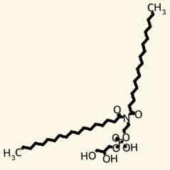 CCCCCCCCCCCCCCCCCC(=O)N(CCOP(=O)(O)OCC(O)CO)C(=O)CCCCCCCCCCCCCCCCC